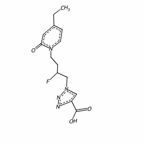 CCc1ccn(CCC(F)Cn2cc(C(=O)O)nn2)c(=O)c1